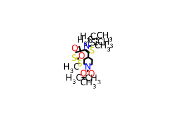 CSC(=S)OC1(c2nc([Si](C)(C)C(C)(C)C)sc2C2CCN(C(=O)OC(C)(C)C)CC2)COC1